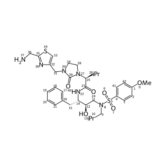 COc1ccc(S(=O)(=O)N(CC(C)C)C[C@@H](O)[C@H](Cc2ccccc2)NC(=O)[C@H](C(C)C)N2CCN(Cc3csc(CN)n3)C2=O)cc1